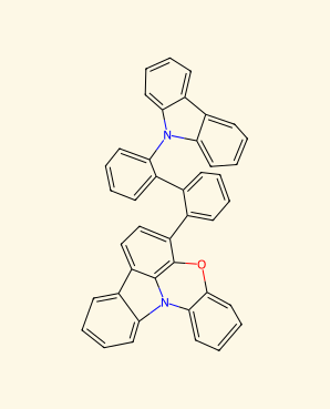 c1ccc2c(c1)Oc1c(-c3ccccc3-c3ccccc3-n3c4ccccc4c4ccccc43)ccc3c4ccccc4n-2c13